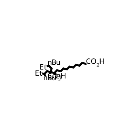 CCCCC(CC)CC(CC(CC)CCCC)(C(=O)O)C(CCCCCCCCCCC(=O)O)C(C)C